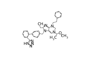 CCC1N=C2C(=CN(C(C)OC)CN2CCc2ccccc2)N1Cc1ccc(-c2ccccc2-c2nnn[nH]2)cc1